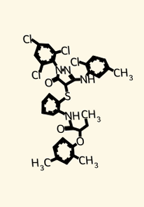 CCC(Oc1ccc(C)cc1C)C(=O)Nc1ccccc1SC1C(=O)N(c2c(Cl)cc(Cl)cc2Cl)N=C1Nc1cc(C)ccc1Cl